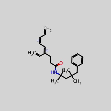 C=C/C=C\C=C(/C=C)CCC(=O)NC(C)(C)CC(C)(C)Cc1ccccc1